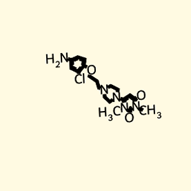 Cn1c(N2CCN(CCCOc3ccc(N)cc3Cl)CC2)cc(=O)n(C)c1=O